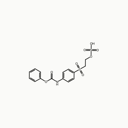 O=C(Nc1ccc(S(=O)(=O)CCOS(=O)(=O)O)cc1)Oc1ccccc1